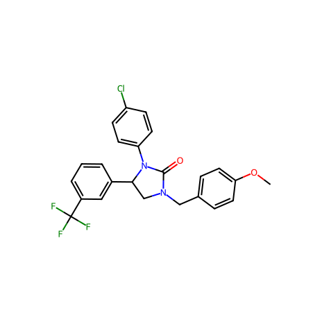 COc1ccc(CN2CC(c3cccc(C(F)(F)F)c3)N(c3ccc(Cl)cc3)C2=O)cc1